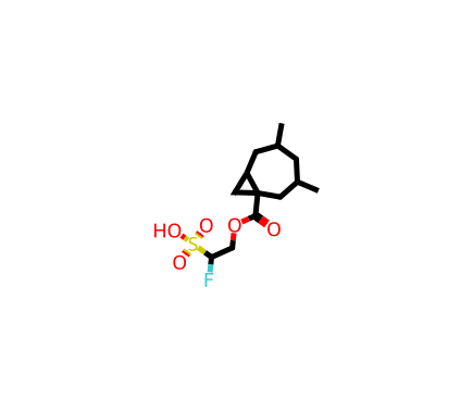 CC1CC(C)CC2(C(=O)OCC(F)S(=O)(=O)O)CC2C1